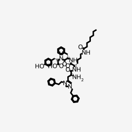 CCCCCCCC(=O)NCCCC[C@H](NC(=O)[C@@H](N)CC1=CN(CCc2ccccc2)CN1CCc1ccccc1)C(=O)N[C@@H](Cc1ccccc1)C(=O)N[C@@H](Cc1ccc(O)cc1)C(=O)O